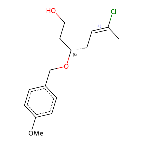 COc1ccc(CO[C@@H](C/C=C(\C)Cl)CCO)cc1